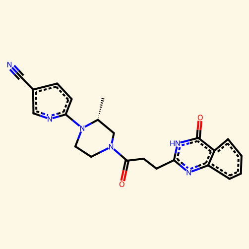 C[C@@H]1CN(C(=O)CCc2nc3ccccc3c(=O)[nH]2)CCN1c1ccc(C#N)cn1